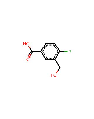 O=C(O)c1ccc(Cl)c(CO)c1